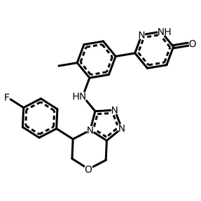 Cc1ccc(-c2ccc(=O)[nH]n2)cc1Nc1nnc2n1C(c1ccc(F)cc1)COC2